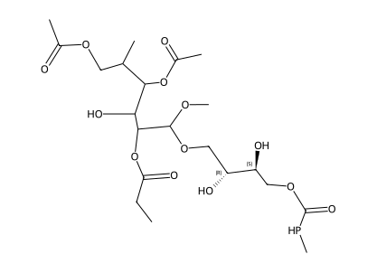 CCC(=O)OC(C(OC)OC[C@@H](O)[C@@H](O)COC(=O)PC)C(O)C(OC(C)=O)C(C)COC(C)=O